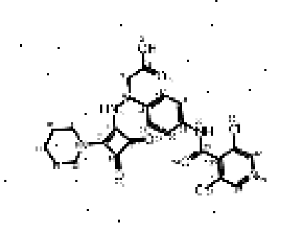 O=C(O)C[C@H](Nc1c(N2CCCCC2)c(=O)c1=O)c1ccc(NC(=O)c2c(Cl)cncc2Cl)cc1